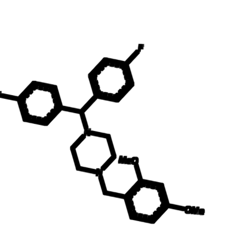 COc1ccc(CN2CCN(C(c3ccc(F)cc3)c3ccc(F)cc3)CC2)c(OC)c1